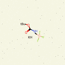 CC(C)(C)OC(=O)NC[B-](F)(F)F.[KH]